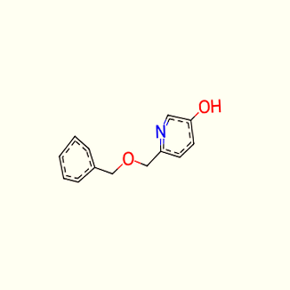 Oc1ccc(COCc2ccccc2)nc1